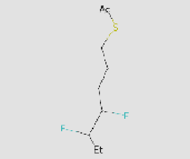 CCC(F)C(F)CCCSC(C)=O